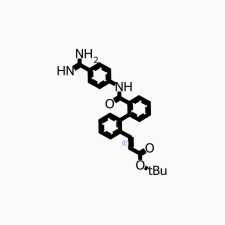 CC(C)(C)OC(=O)/C=C/c1ccccc1-c1ccccc1C(=O)Nc1ccc(C(=N)N)cc1